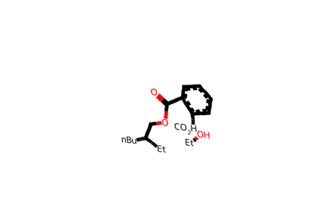 CCCCC(CC)COC(=O)c1ccccc1C(=O)O.CCO